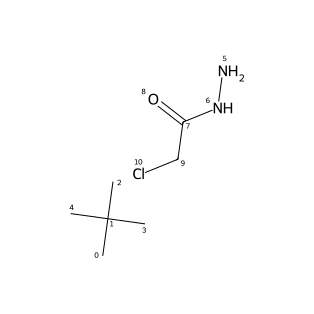 CC(C)(C)C.NNC(=O)CCl